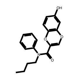 CCCCN(C(=O)C1=COc2cc(O)ccc2O1)c1ccccc1